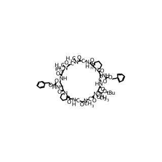 CC(C)[C@H]1C(=O)NC[C@@H](NC(=O)OCc2ccccc2)C(=O)N2CCCC[C@H]2C(=O)NCC(=O)N(C)CC(=O)N(C)[C@@H]([C@@H](C)OC(C)(C)C)C(=O)NC[C@@H](NC(=O)OCc2ccccc2)C(=O)N2CCCC[C@H]2C(=O)NCC(=O)N(C)CC(=O)N1C